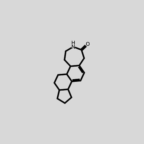 O=C1CC2=CC=C3C4CCCC4CCC3C2CCN1